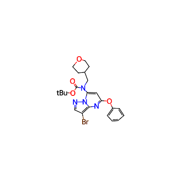 CC(C)(C)OC(=O)N(CC1CCOCC1)c1cc(Oc2ccccc2)nc2c(Br)cnn12